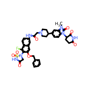 Cn1c(=O)n(C2CCC(=O)NC2=O)c2ccc(C3CCN(CC(=O)Nc4ccc5c(F)c(N6CC(=O)NS6(=O)=O)c(OCc6ccccc6)cc5c4)CC3)cc21